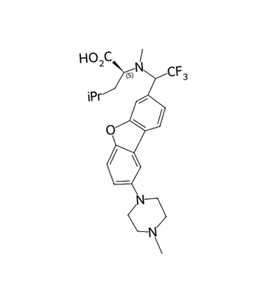 CC(C)C[C@@H](C(=O)O)N(C)C(c1ccc2c(c1)oc1ccc(N3CCN(C)CC3)cc12)C(F)(F)F